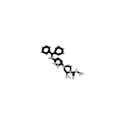 C[C@H]1CN(c2ccc(NC(c3ccccc3)c3ccccc3)nn2)CCN1C(=O)OC(C)(C)C